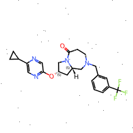 O=C1CCN(Cc2cccc(C(F)(F)F)c2)C[C@@H]2C[C@H](Oc3cnc(C4CC4)cn3)CN12